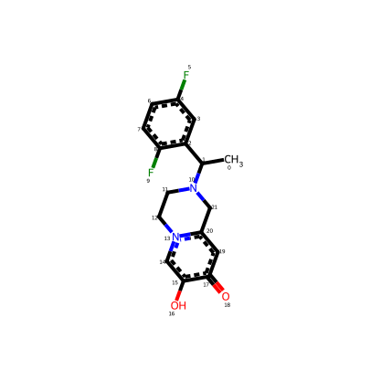 CC(c1cc(F)ccc1F)N1CCn2cc(O)c(=O)cc2C1